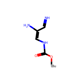 CC(C)(C)OC(=O)N/C=C(/N)C=N